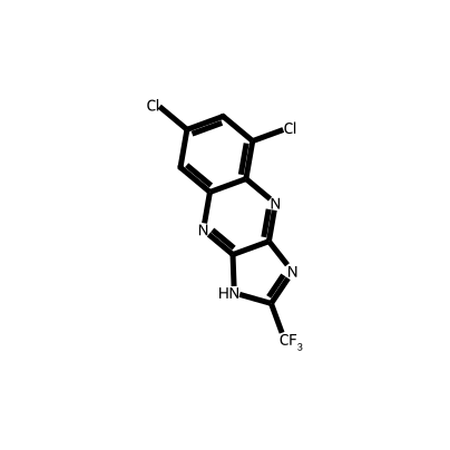 FC(F)(F)c1nc2nc3c(Cl)cc(Cl)cc3nc2[nH]1